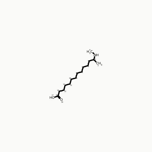 CNC(C)CCCCCCCCCCCC(=O)O